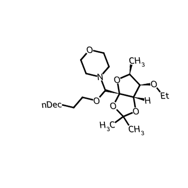 CCCCCCCCCCCCOC(N1CCOCC1)[C@@]12O[C@@H](C)[C@@H](OCC)[C@@H]1OC(C)(C)O2